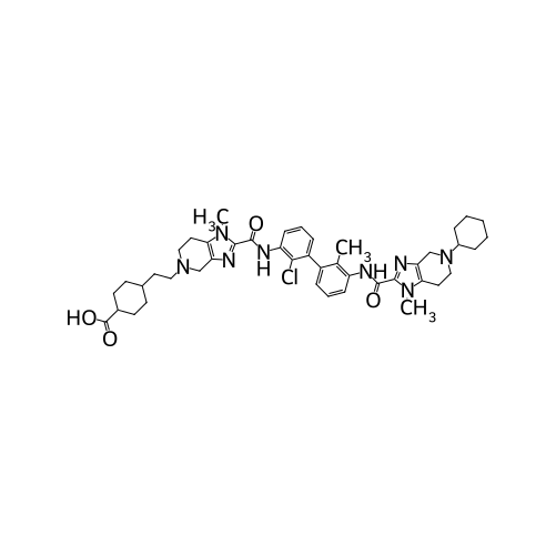 Cc1c(NC(=O)c2nc3c(n2C)CCN(C2CCCCC2)C3)cccc1-c1cccc(NC(=O)c2nc3c(n2C)CCN(CCC2CCC(C(=O)O)CC2)C3)c1Cl